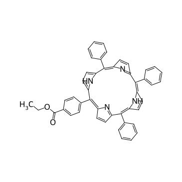 CCOC(=O)c1ccc(-c2c3nc(c(-c4ccccc4)c4ccc([nH]4)c(-c4ccccc4)c4nc(c(-c5ccccc5)c5ccc2[nH]5)C=C4)C=C3)cc1